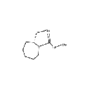 CC(C)(C)C[C@H]1CCCCCN1C(=O)OC(C)(C)C